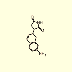 Nc1ccc2c(c1)CN(C1CC(=O)NC1=O)C=N2